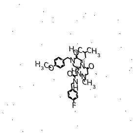 COc1ccc(CN2C[C@H]3N(C(=O)CN(C)N3C(=O)NCc3ccc(F)cc3)[C@@H](CC(C)C)C2=O)cc1